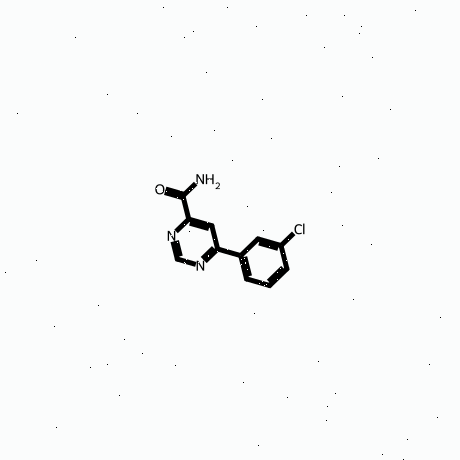 NC(=O)c1cc(-c2cccc(Cl)c2)ncn1